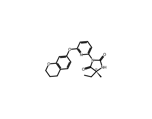 CC[C@@]1(C)NC(=O)N(c2cccc(Oc3ccc4c(c3)OCCC4)n2)C1=O